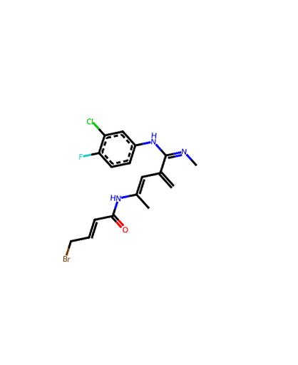 C=C(/C=C(\C)NC(=O)/C=C/CBr)/C(=N\C)Nc1ccc(F)c(Cl)c1